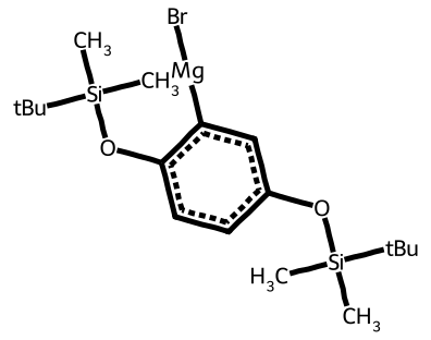 CC(C)(C)[Si](C)(C)Oc1ccc(O[Si](C)(C)C(C)(C)C)[c]([Mg][Br])c1